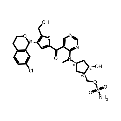 CN(c1ncncc1C(=O)c1cc([C@H]2OCCc3ccc(Cl)cc32)c(CO)s1)[C@@H]1C[C@H](COS(N)(=O)=O)[C@@H](O)C1